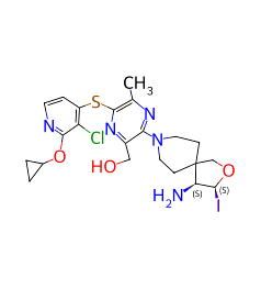 Cc1nc(N2CCC3(CC2)CO[C@@H](I)[C@H]3N)c(CO)nc1Sc1ccnc(OC2CC2)c1Cl